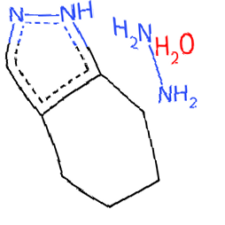 NN.O.c1n[nH]c2c1CCCC2